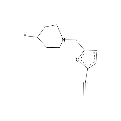 C#Cc1ccc(CN2CCC(F)CC2)o1